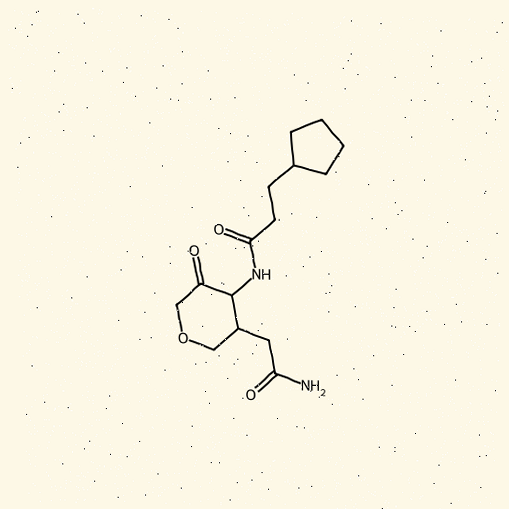 NC(=O)CC1COCC(=O)C1NC(=O)[CH]CC1CCCC1